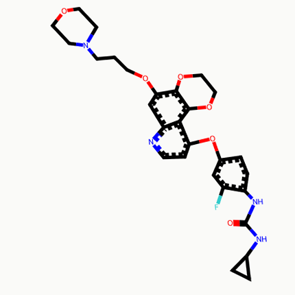 O=C(Nc1ccc(Oc2ccnc3cc(OCCCN4CCOCC4)c4c(c23)OCCO4)cc1F)NC1CC1